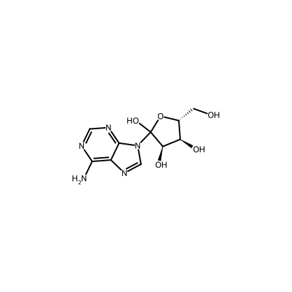 Nc1ncnc2c1ncn2C1(O)O[C@H](CO)[C@@H](O)[C@H]1O